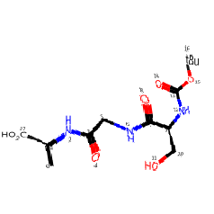 C[C@H](NC(=O)CNC(=O)[C@H](CO)NC(=O)OC(C)(C)C)C(=O)O